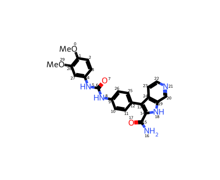 COc1ccc(NC(=O)Nc2ccc(-c3c(C(N)=O)[nH]c4cnccc34)cc2)cc1OC